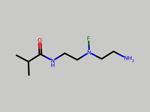 CC(C)C(=O)NCCN(F)CCN